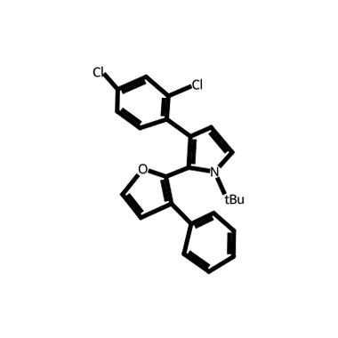 CC(C)(C)n1ccc(-c2ccc(Cl)cc2Cl)c1-c1occc1-c1ccccc1